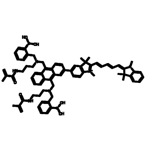 C=C(C)C(=O)NCCCN(Cc1ccccc1B(O)O)Cc1c2ccccc2c(CN(CCCNC(=O)C(=C)C)Cc2ccccc2B(O)O)c2cc(-c3ccc4c(c3)C(C)(C)C(/C=C/C=C/C=C3/N(C)c5ccccc5C3(C)C)=[N+]4C)ccc12